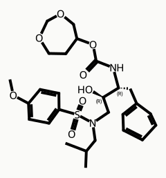 COc1ccc(S(=O)(=O)N(CC(C)C)C[C@@H](O)[C@@H](Cc2ccccc2)NC(=O)OC2CCOCOC2)cc1